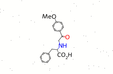 COc1ccc(C(=O)CNC(Cc2ccccc2)C(=O)O)cc1